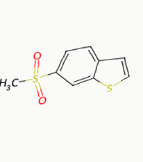 CS(=O)(=O)c1ccc2ccsc2c1